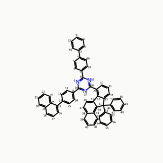 c1ccc(-c2ccc(-c3nc(-c4ccc(-c5cccc6ccccc56)cc4)nc(-c4cccc5c4-c4ccc6ccccc6c4C5(c4ccccc4)c4ccccc4)n3)cc2)cc1